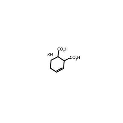 O=C(O)C1C=CCCC1C(=O)O.[KH]